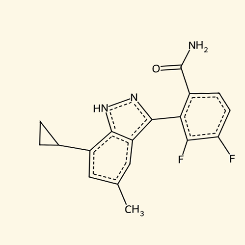 Cc1cc(C2CC2)c2[nH]nc(-c3c(C(N)=O)ccc(F)c3F)c2c1